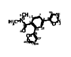 CN(C)C(=O)c1ccc(-c2cnno2)cc1-c1cnno1